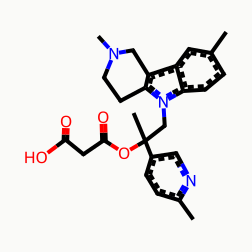 Cc1ccc2c(c1)c1c(n2CC(C)(OC(=O)CC(=O)O)c2ccc(C)nc2)CCN(C)C1